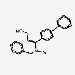 CC(=O)N(Cc1ccccc1)C(=CSC#N)c1ccc(-c2ccccc2)cc1